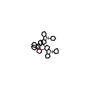 c1ccc(-n2c3ccccc3c3cc(-n4c5ccccc5c5cccc(-c6c(-c7cccc8c7oc7ccccc78)ccc7c6c6ccccc6n7-c6ccccc6)c54)ccc32)cc1